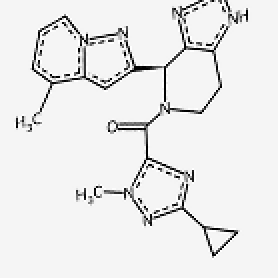 Cc1cccn2nc([C@H]3c4nc[nH]c4CCN3C(=O)c3nc(C4CC4)nn3C)cc12